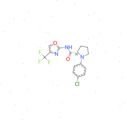 O=C(Nc1nc(C(F)(F)F)co1)[C@@H]1CCCN1c1ccc(Cl)cc1